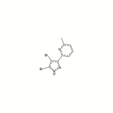 Cc1cccc(-c2n[nH]c(Br)c2Br)n1